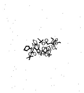 CCOP(=O)(OCC)C(CCC(=O)OC(C)(C)C)(COC)OC[C@H]1O[C@@H](n2ncc3c(N(C(=O)OC(C)(C)C)C4CCCC4)nc(Cl)nc32)[C@@H]2OC(C)(C)O[C@@H]21